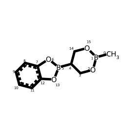 CB1OCC(B2Oc3ccccc3O2)CO1